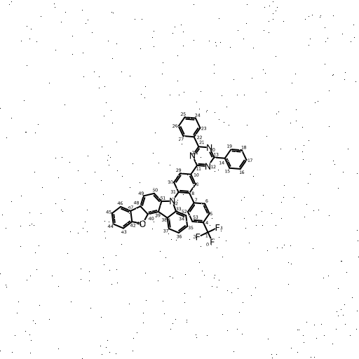 FC(F)(F)c1ccc(-c2cc(-c3nc(-c4ccccc4)nc(-c4ccccc4)n3)ccc2-n2c3ccccc3c3c4oc5ccccc5c4ccc32)cc1